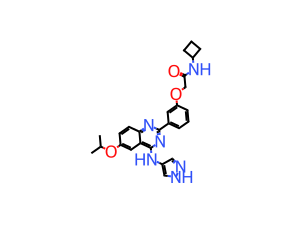 CC(C)Oc1ccc2nc(-c3cccc(OCC(=O)NC4CCC4)c3)nc(Nc3cn[nH]c3)c2c1